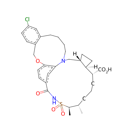 C[C@@H]1[C@@H](C)CCC[C@@H](C(=O)O)[C@@H]2CC[C@H]2CN2CCCCc3cc(Cl)ccc3COc3ccc(cc32)C(=O)NS1(=O)=O